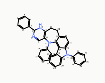 C1=NC(c2ccccc2)NC2=C1N(c1ccccc1)c1c(ccc3c1c1ccccc1n3-c1ccccc1)CC2